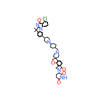 CC1(C)c2ccc(C3CCN(C4CCC(CN5CCC6(CC5)COc5c6ccc6c5CN([C@@H]5CCC(=O)NC5=O)C6=O)CC4)CC3)cc2-n2c1nc(=O)c1c(Cl)cccc12